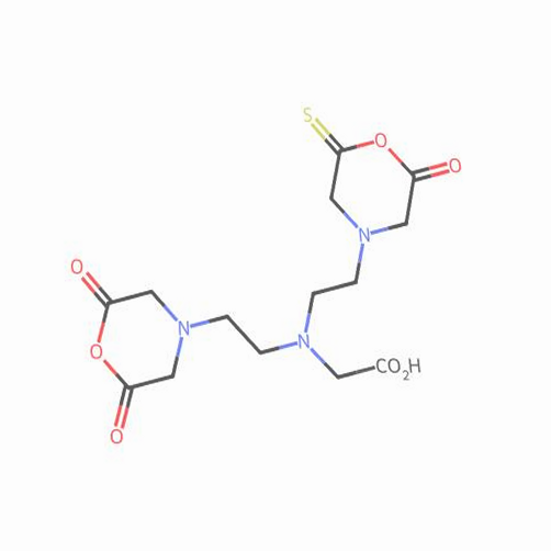 O=C(O)CN(CCN1CC(=O)OC(=O)C1)CCN1CC(=O)OC(=S)C1